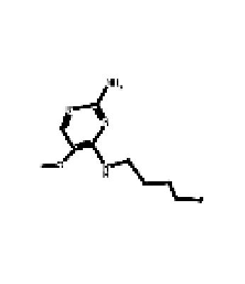 COc1cnc(N)nc1NCCCCF